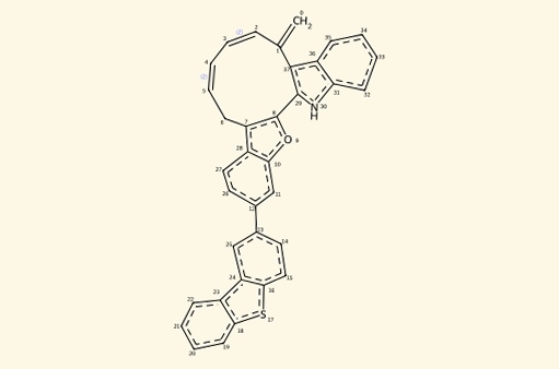 C=C1/C=C\C=C/Cc2c(oc3cc(-c4ccc5sc6ccccc6c5c4)ccc23)-c2[nH]c3ccccc3c21